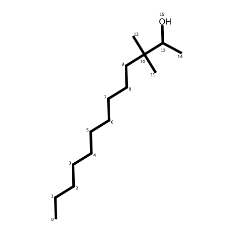 CCCCCCCCCCC(C)(C)C(C)O